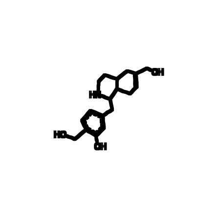 OCC1=CCC2C(CCNC2Cc2ccc(CO)c(O)c2)C1